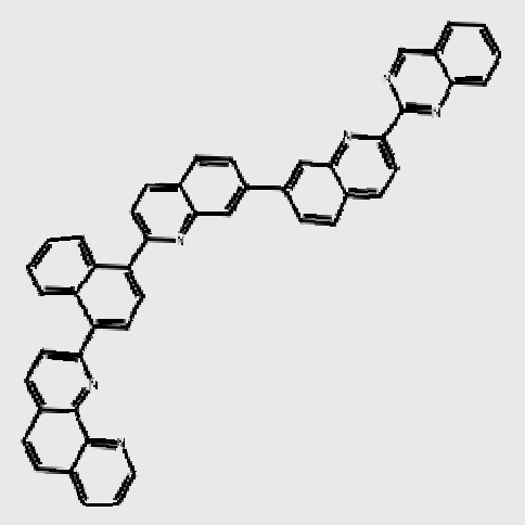 c1ccc2nc(-c3ccc4ccc(-c5ccc6ccc(-c7ccc(-c8ccc9ccc%10cccnc%10c9n8)c8ccccc78)nc6c5)cc4n3)ncc2c1